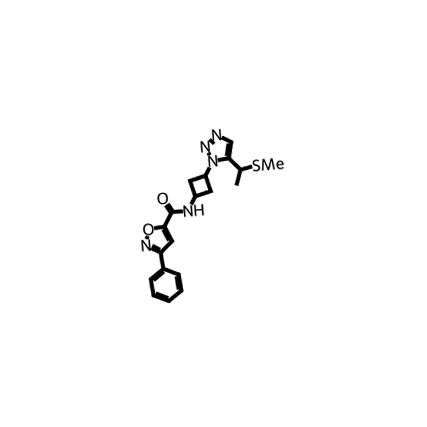 CSC(C)c1cnnn1C1CC(NC(=O)c2cc(-c3ccccc3)no2)C1